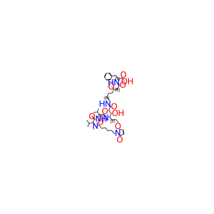 CC[C@H](C)C(C(O)CC(=O)NC[C@H](C)CCC(OC)[C@@H](C)C(=O)N[C@@H](Cc1ccccc1)C(=O)O)N(C)C(=O)[C@@H](NC(=O)C(C(C)C)N(C)C(=O)CCCCCN1C(=O)C=CC1=O)C(C)C